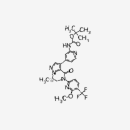 COc1nc(N2C[C@H](C)n3ncc(-c4ccnc(NC(=O)OC(C)(C)C)c4)c3C2=O)ccc1C(F)(F)F